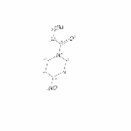 CC(C)(C)OC(=O)N1CCC(N=O)CC1